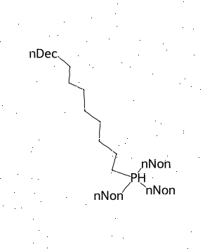 CCCCCCCCCCCCCCCCCC[PH](CCCCCCCCC)(CCCCCCCCC)CCCCCCCCC